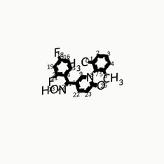 Cc1cccc(C)c1-n1cc(C(=NO)c2ccc(F)cc2F)ccc1=O